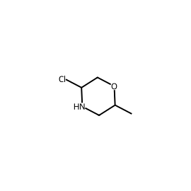 CC1CNC(Cl)CO1